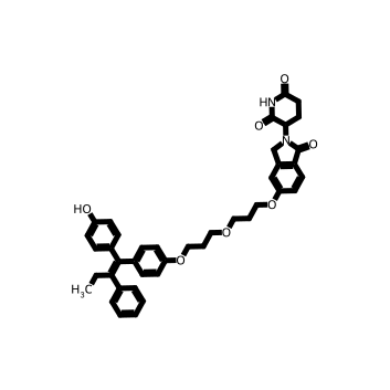 CCC(=C(c1ccc(O)cc1)c1ccc(OCCCOCCCOc2ccc3c(c2)CN(C2CCC(=O)NC2=O)C3=O)cc1)c1ccccc1